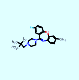 COc1ccc2c(c1)Oc1ccc(F)cc1C(N1CCN(CC(C)(C)C(=O)O)CC1)=N2